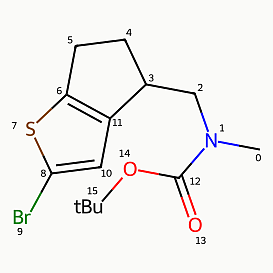 CN(CC1CCc2sc(Br)cc21)C(=O)OC(C)(C)C